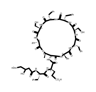 CCCCCCCCCCCC(O)CC(=O)N[C@@H](CC(C)C)C(=O)N[C@H](CCC(=O)O)C(=O)N[C@H]1C(=O)N[C@H](C(C)C)C(=O)N[C@@H](CC(C)C)C(=O)N[C@H](CO)C(=O)N[C@@H](CC(C)C)C(=O)N[C@@H](CC(C)C)C(=O)N[C@H](CO)C(=O)N[C@@H](C(C)C)C(=O)O[C@@H]1C